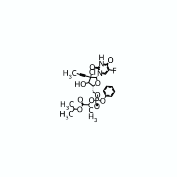 CC#C[C@@]1(Cl)C(O)[C@@H](CO[P@](=O)(Oc2ccccc2)O[C@@H](C)C(=O)OC(C)C)O[C@H]1n1cc(F)c(=O)[nH]c1=O